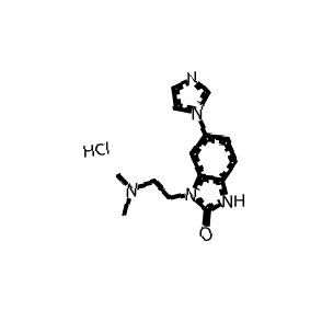 CN(C)CCn1c(=O)[nH]c2ccc(-n3ccnc3)cc21.Cl